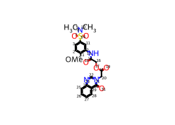 COc1ccc(S(=O)(=O)N(C)C)cc1NC(=O)COC(=O)Cn1cnc2ccccc2c1=O